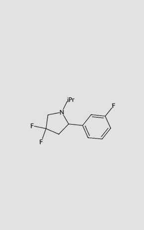 CC(C)N1CC(F)(F)CC1c1cccc(F)c1